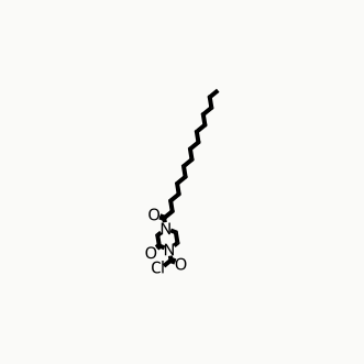 CCCCCCCCCCCCCCCC(=O)N1CCN(C(=O)Cl)C(=O)C1